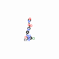 CCc1nc2cc(Cl)ccn2c1C(=O)NCc1ccc(N2CCC(C(=O)OCCN3CCOCC3)CC2)cc1